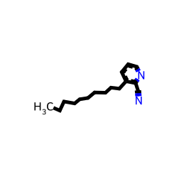 CCCCCCCCCCc1cccnc1C#N